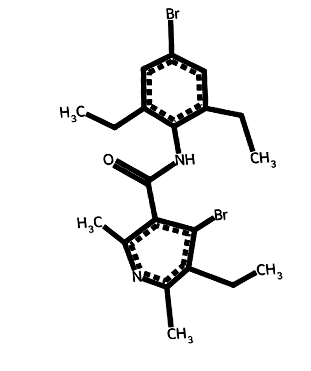 CCc1cc(Br)cc(CC)c1NC(=O)c1c(C)nc(C)c(CC)c1Br